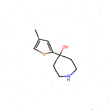 Cc1csc(C2(O)CCNCC2)c1